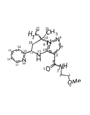 COCCNC(=O)c1cnn2c1NC(c1ccccn1)CC2(C)C